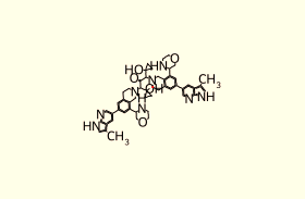 Cc1c[nH]c2ncc(-c3cc4c(c(C5COCCN5)c3)CN(C(C(=O)C(N3CCc5cc(-c6cnc7[nH]cc(C)c7c6)cc(C6COCCN6)c5C3)C3(O)CC3)C3(O)CC3)CC4)cc12